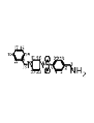 NCc1ccc(S(=O)(=O)N2CCN(Cc3ccccc3)CC2)cc1